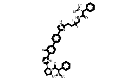 CCN(CC)C(C(=O)N1CCC[C@H]1c1ncc(-c2ccc(-c3ccc(-c4c[nH]c(CCC(F)(F)CNC(=O)[C@@H](c5ccccc5)N(CC)CC)n4)cc3)cc2F)[nH]1)c1ccccc1